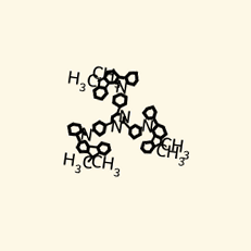 CC1(C)c2ccccc2-c2c1ccc1c3ccccc3n(-c3ccc(-c4cc(-c5ccc(-n6c7ccccc7c7ccc8c(c76)-c6ccccc6C8(C)C)cc5)nc(-c5cccc(-n6c7ccccc7c7ccc8c(c76)-c6ccccc6C8(C)C)c5)n4)cc3)c21